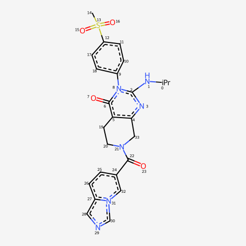 CC(C)Nc1nc2c(c(=O)n1-c1ccc(S(C)(=O)=O)cc1)CCN(C(=O)c1ccc3cncn3c1)C2